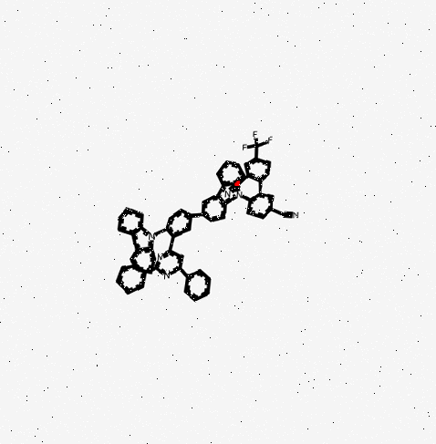 N#Cc1ccc(-n2c3ccccc3c3cc(-c4ccc(-n5c6ccccc6c6ccccc65)c(-c5cc(-c6ccccc6)nc(-c6ccccc6)n5)c4)ccc32)c(-c2ccc(C(F)(F)F)cc2C#N)c1